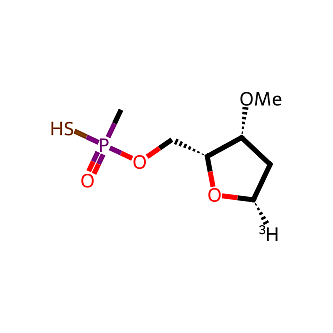 [3H][C@H]1C[C@@H](OC)[C@@H](COP(C)(=O)S)O1